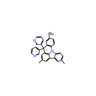 CCC(C)c1ccc2c(c1)C(c1cccnc1)(c1cccnc1)c1cc(C)cc3c4cc(C)ccc4n-2c13